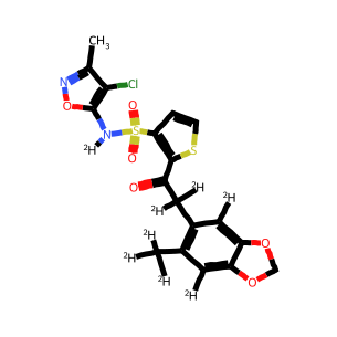 [2H]c1c2c(c([2H])c(C([2H])([2H])C(=O)c3sccc3S(=O)(=O)N([2H])c3onc(C)c3Cl)c1C([2H])([2H])[2H])OCO2